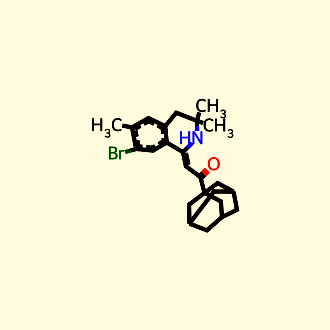 Cc1cc2c(cc1Br)C(=CC(=O)C13CC4CC(CC(C4)C1)C3)NC(C)(C)C2